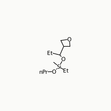 CCCO[Si](C)(CC)OC(CC)C1COC1